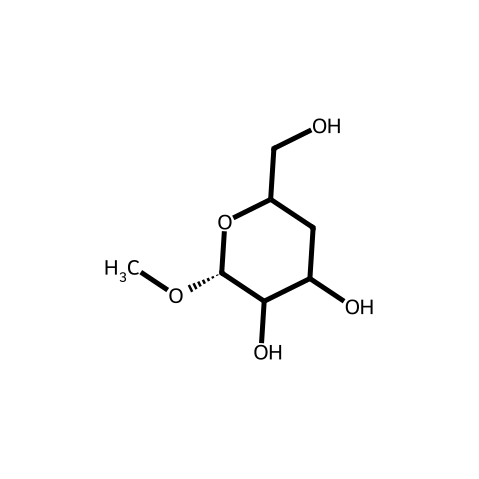 CO[C@@H]1OC(CO)CC(O)C1O